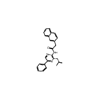 CC(C)Cc1nc(-c2ccccc2)cnc1NC(=O)Cc1ccc2ccccc2c1